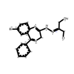 OC/C(CCl)=N\NC1=Nc2ccc(Br)cc2C(c2ccccc2)=NC1